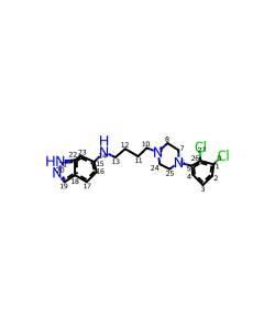 Clc1cccc(N2CCN(CCCCNc3ccc4cn[nH]c4c3)CC2)c1Cl